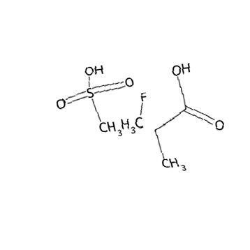 CCC(=O)O.CF.CS(=O)(=O)O